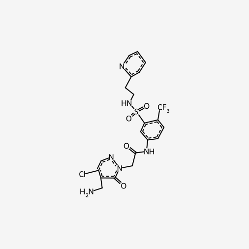 NCc1c(Cl)cnn(CC(=O)Nc2ccc(C(F)(F)F)c(S(=O)(=O)NCCc3ccccn3)c2)c1=O